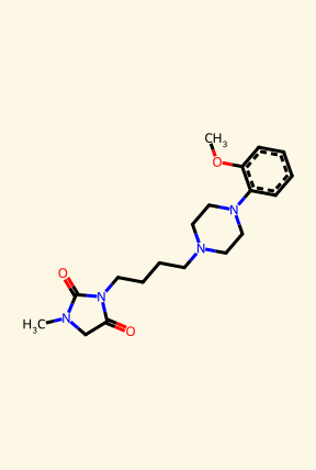 COc1ccccc1N1CCN(CCCCN2C(=O)CN(C)C2=O)CC1